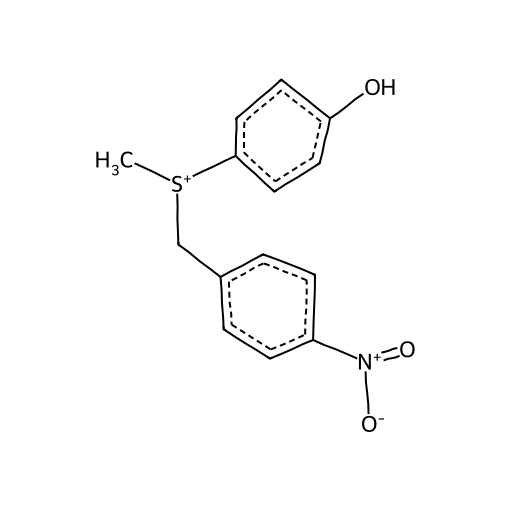 C[S+](Cc1ccc([N+](=O)[O-])cc1)c1ccc(O)cc1